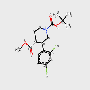 COC(=O)[C@@H]1CCN(C(=O)OC(C)(C)C)C[C@H]1c1ccc(F)cc1F